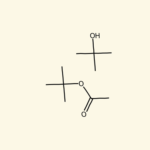 CC(=O)OC(C)(C)C.CC(C)(C)O